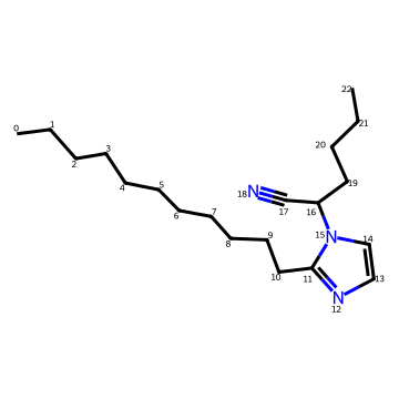 CCCCCCCCCCCc1nccn1C(C#N)CCCC